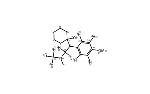 [2H]c1c([2H])c(C(C2(O)CCCCC2)C([2H])([2H])N(C)C([2H])([2H])[2H])c([2H])c([2H])c1OC